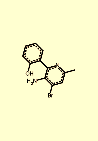 Cc1cc(Br)c(N)c(-c2ccccc2O)n1